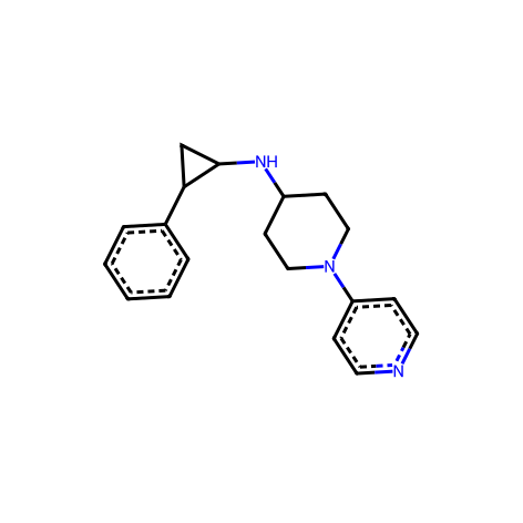 c1ccc(C2CC2NC2CCN(c3ccncc3)CC2)cc1